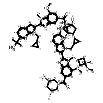 COc1cc(C(=O)N2C[C@H]3CC[C@@H]2[C@@H]3Nc2ccc3cc(-c4nc5cc(C(=O)N6C[C@H](N)C[C@@H](F)C6)cc(OC)c5n4C[C@H]4C[C@@](C)(OC)C4)n(CC4CC4)c3n2)cc2nc(-c3cc4ccc(C(C)(C)O)nc4n3CC3CC3)n(C)c12